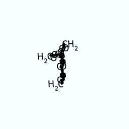 C=CC(=O)Cc1ccc(C#CC(=O)Oc2ccc(-c3ccc(OCOC(=O)C=C)c(OCOC(=O)C=C)c3)cc2)cc1